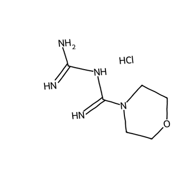 Cl.N=C(N)NC(=N)N1CCOCC1